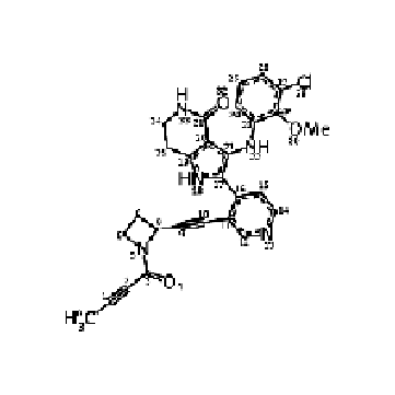 CC#CC(=O)N1CC[C@H]1C#Cc1cnccc1-c1[nH]c2c(c1Nc1cccc(Cl)c1OC)C(=O)NCC2